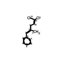 C/C(=C\c1ccccc1)CC=C(Cl)Cl